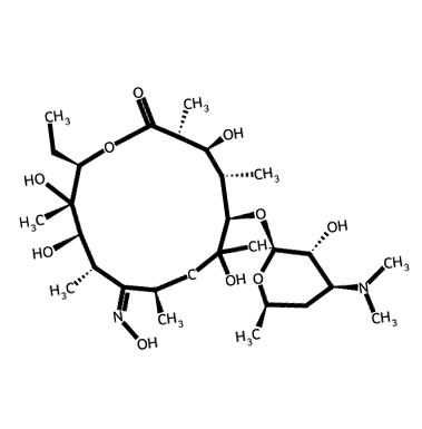 CC[C@H]1OC(=O)[C@H](C)[C@@H](O)[C@H](C)[C@@H](O[C@@H]2O[C@H](C)C[C@H](N(C)C)[C@H]2O)C(C)(O)C[C@@H](C)/C(=N\O)[C@H](C)[C@@H](O)[C@]1(C)O